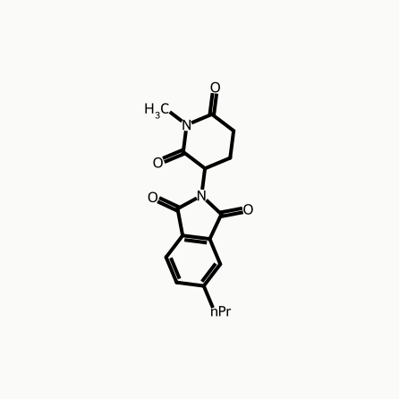 CCCc1ccc2c(c1)C(=O)N(C1CCC(=O)N(C)C1=O)C2=O